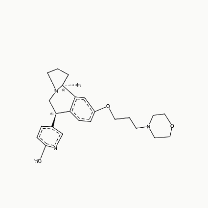 Oc1ccc([C@H]2CN3CCC[C@H]3c3cc(OCCCN4CCOCC4)ccc32)cn1